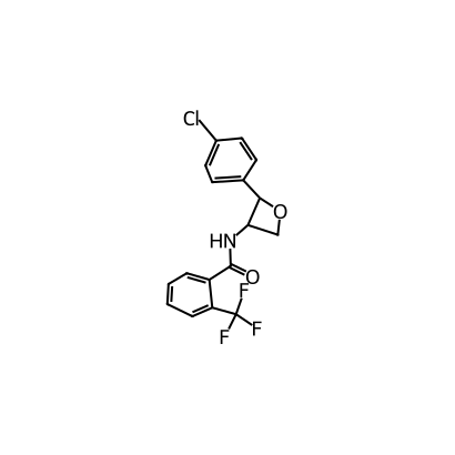 O=C(NC1COC1c1ccc(Cl)cc1)c1ccccc1C(F)(F)F